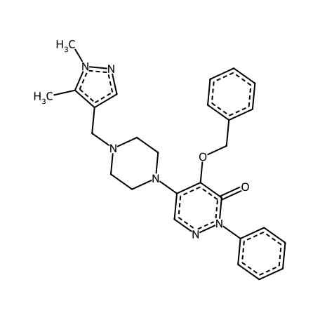 Cc1c(CN2CCN(c3cnn(-c4ccccc4)c(=O)c3OCc3ccccc3)CC2)cnn1C